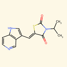 CC(C)N1C(=O)S/C(=C\c2c[nH]c3ccncc23)C1=O